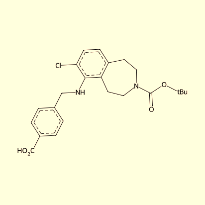 CC(C)(C)OC(=O)N1CCc2ccc(Cl)c(NCc3ccc(C(=O)O)cc3)c2CC1